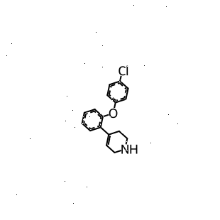 Clc1ccc(Oc2ccccc2C2=CCNCC2)cc1